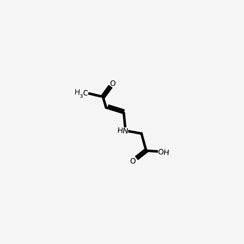 CC(=O)C=CNCC(=O)O